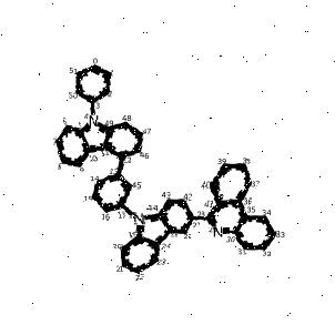 c1ccc(-n2c3ccccc3c3c(-c4cccc(-n5c6ccccc6c6cc(-c7nc8ccccc8c8ccccc78)ccc65)c4)cccc32)cc1